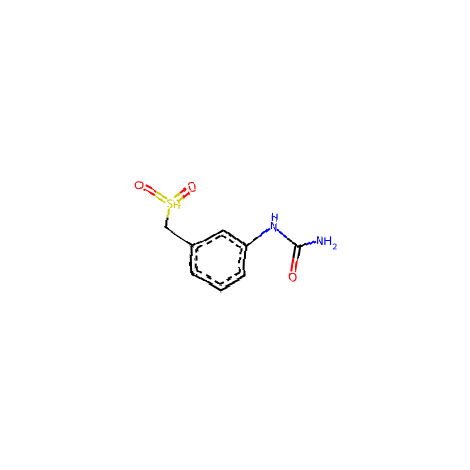 NC(=O)Nc1cccc(C[SH](=O)=O)c1